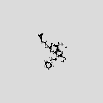 COc1nc2c(N)nc(OCCC3CC3)nc2n1CC[C@H]1CCOC1